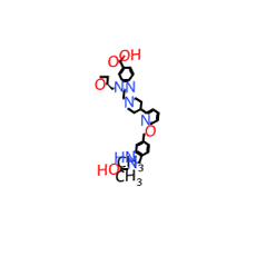 CC(C)(O)CN1Cc2ccc(COc3cccc(C4CCN(Cc5nc6ccc(C(=O)O)cc6n5C[C@@H]5CCO5)CC4)n3)cc2N1